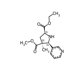 CCOC(=O)[C@@H]1C[C@](C)(C(=O)OC)[C@H](c2cccnc2)N1